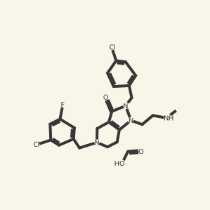 CNCCn1c2c(c(=O)n1Cc1ccc(Cl)cc1)CN(Cc1cc(F)cc(Cl)c1)CC2.O=CO